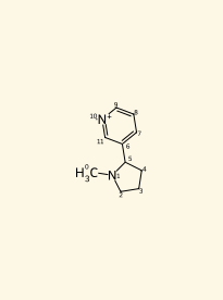 CN1CCCC1C1=CC=C[N+]=C1